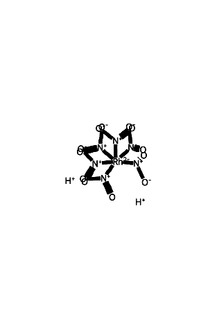 O=[N+]([O-])[Rh-2]([N+](=O)[O-])([N+](=O)[O-])([N+](=O)[O-])([N+](=O)[O-])[N+](=O)[O-].[H+].[H+]